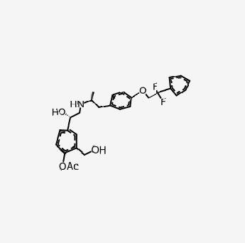 CC(=O)Oc1ccc([C@H](O)CN[C@@H](C)Cc2ccc(OCC(F)(F)c3ccccc3)cc2)cc1CO